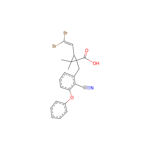 CC1(C)C(C=C(Br)Br)C1(Cc1cccc(Oc2ccccc2)c1C#N)C(=O)O